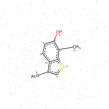 CC(=O)Oc1csc2c(C)c(O)ccc12